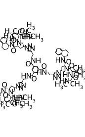 CN[C@@H](C)C(=O)N[C@H](C(=O)N1C[C@@H](n2cc(CCNC(=O)c3cc(C(=O)NCCc4cn([C@H]5C[C@@H](C(=O)N[C@@H]6CCCc7ccccc76)N(C(=O)[C@@H](NC(=O)[C@H](C)NC)C(C)(C)C)C5)nn4)cc(C(=O)NCCc4cn([C@H]5C[C@@H](C(=O)N[C@@H]6CCCc7ccccc76)N(C(=O)[C@@H](NC(=O)[C@H](C)NC)C(C)(C)C)C5)nn4)c3)nn2)C[C@H]1C(N)=O)C(C)(C)C